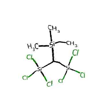 C[Si](C)(C)C([Si](Cl)(Cl)Cl)[Si](Cl)(Cl)Cl